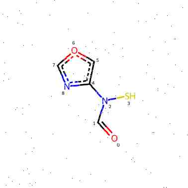 O=CN(S)c1cocn1